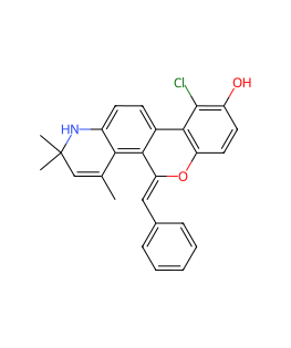 CC1=CC(C)(C)Nc2ccc3c(c21)C(=Cc1ccccc1)Oc1ccc(O)c(Cl)c1-3